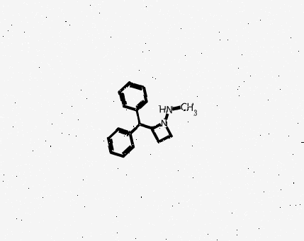 CNN1CCC1C(c1ccccc1)c1ccccc1